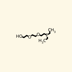 CCP(CC)CCOCCOCCO